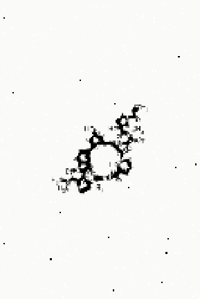 C=CC(=O)N1CCC(O)(C(=O)N(C)[C@H](C(=O)N[C@H]2Cc3cc(O)cc(c3)-c3ccc4c(c3)c(c(-c3cccnc3CN(C)C)n4CC)CC(C)(C)COC(=O)[C@@]3(O)CCCN(N3)C2=O)C(C)C)C1